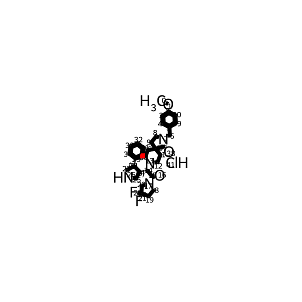 COc1ccc(CN2CCC3(CCN(C(C(=O)N4CCC(F)(F)C4)[C@@H]4CNC[C@@H]4c4ccccc4)CC3)C2=O)cc1.Cl